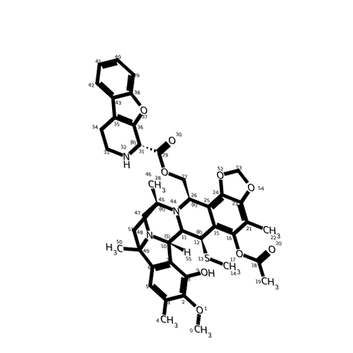 COc1c(C)cc2c(c1O)[C@H]1C3[C@H](SC)c4c(OC(C)=O)c(C)c5c(c4[C@H](COC(=O)[C@@H]4NCCc6c4oc4ccccc64)N3[C@@]3(C)CN1C2(C)C3)OCO5